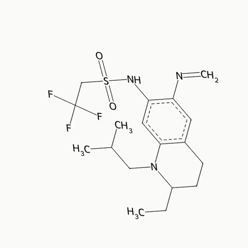 C=Nc1cc2c(cc1NS(=O)(=O)CC(F)(F)F)N(CC(C)C)C(CC)CC2